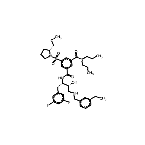 CCCN(CCC)C(=O)c1cc(C(=O)N[C@@H](Cc2cc(F)cc(F)c2)[C@H](O)CNCc2cccc(CC)c2)cc(S(=O)(=O)N2CCC[C@@H]2COC)c1